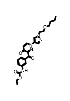 CCCCOCCn1cc(-n2ccc(=O)c(C(=O)c3cccc(NC(=O)OCC)c3)n2)cn1